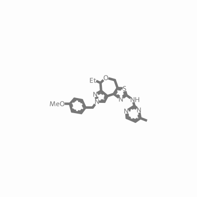 CCC1OCc2sc(Nc3nccc(C)n3)nc2-c2cn(Cc3ccc(OC)cc3)nc21